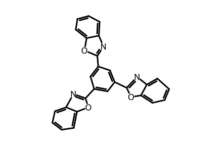 c1ccc2oc(-c3cc(-c4nc5ccccc5o4)cc(-c4nc5ccccc5o4)c3)nc2c1